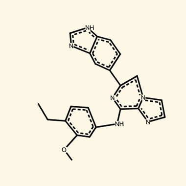 CCc1ccc(Nc2nc(-c3ccc4[nH]cnc4c3)cn3ccnc23)cc1OC